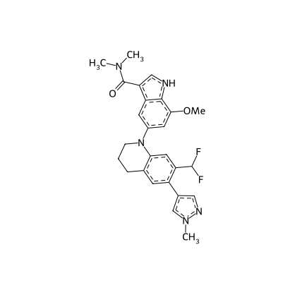 COc1cc(N2CCCc3cc(-c4cnn(C)c4)c(C(F)F)cc32)cc2c(C(=O)N(C)C)c[nH]c12